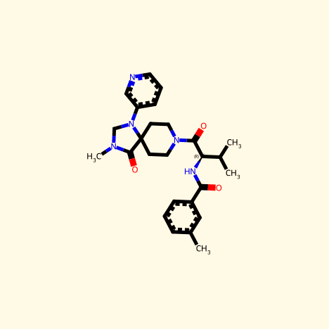 Cc1cccc(C(=O)N[C@@H](C(=O)N2CCC3(CC2)C(=O)N(C)CN3c2cccnc2)C(C)C)c1